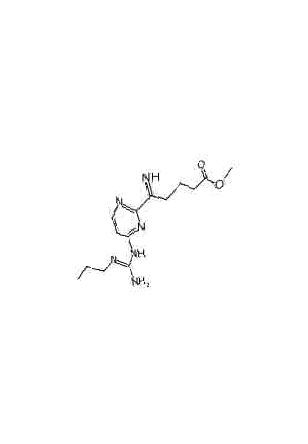 CCCN=C(N)Nc1ccnc(C(=N)CCCC(=O)OC)n1